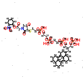 O=C(CN1CC(=O)C(SCCOP(=O)(O)OCCOP(=O)(O)OCCOP(=O)(O)OCC(COP(=O)(O)O)Cc2ccc3c4cccc5cccc(c6cccc2c63)c54)C1=O)Oc1ccccc1[N+](=O)[O-]